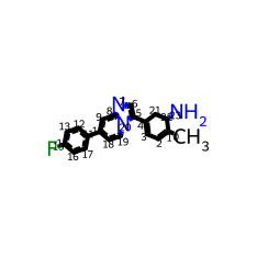 CC1=CC=C(c2cnc3cc(-c4ccc(F)cc4)ccn23)CC1N